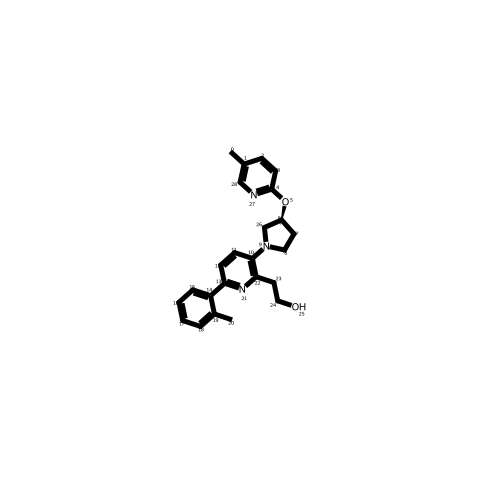 Cc1ccc(O[C@H]2CCN(c3ccc(-c4ccccc4C)nc3CCO)C2)nc1